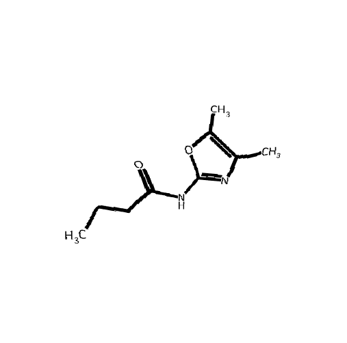 CCCC(=O)Nc1nc(C)c(C)o1